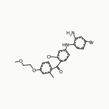 COCCOc1ccc(C(=O)c2ccc(Nc3ccc(Br)cc3N)cc2Cl)c(C)c1